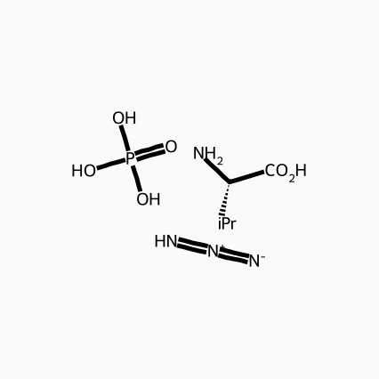 CC(C)[C@H](N)C(=O)O.O=P(O)(O)O.[N-]=[N+]=N